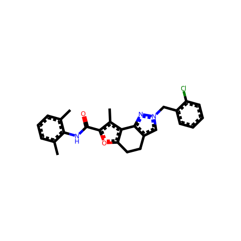 Cc1cccc(C)c1NC(=O)c1oc2c(c1C)-c1nn(Cc3ccccc3Cl)cc1CC2